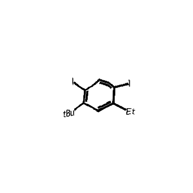 CCc1cc(C(C)(C)C)c(I)cc1I